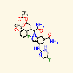 NC(=O)c1cc(NC2=NCC(F)CN2)c2cnn(C(C(N)=O)[C@@H](CC(=O)OC(=O)C(F)(F)F)c3cc(OC(F)(F)F)ccc3F)c2c1